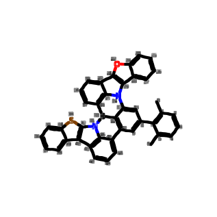 Cc1cccc(C)c1-c1cc2c3c(c1)-n1c4c(cccc4c4oc5ccccc5c41)B3n1c3sc4ccccc4c3c3cccc-2c31